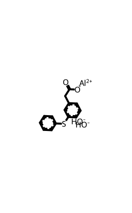 O=C(Cc1cccc(Sc2ccccc2)c1)[O][Al+2].[OH-].[OH-]